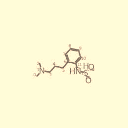 CN(C)CCCc1ccccc1N[SH](=O)=O